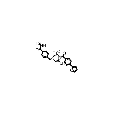 C[C@@H]1CN(Cc2ccc(C(=O)NO)cc2)C[C@H](C)N1C(=O)c1ccc(-c2ccco2)cc1